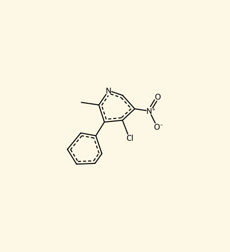 Cc1ncc([N+](=O)[O-])c(Cl)c1-c1ccccc1